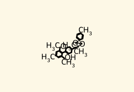 CCc1cc(C)cc(CC)c1C1=C(O)CC(C(C)(C)CS(=O)(=O)c2ccc(C)cc2)CC1=O